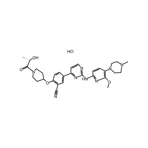 COc1nc(Nc2nccc(-c3ccc(OC4CCN(C(=O)[C@H](C)O)CC4)c(C#N)c3)n2)ccc1N1CCN(C)CC1.Cl